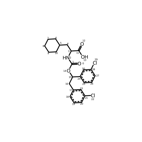 O=C(NC(CC1CCCCC1)C(=O)O)OC(Cc1cccc(Cl)c1)c1cccc(Cl)c1